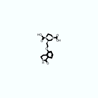 O=C1NCCc2c(OCC[C@@H]3CN(C(=O)O)CCN3C(=O)O)cccc21